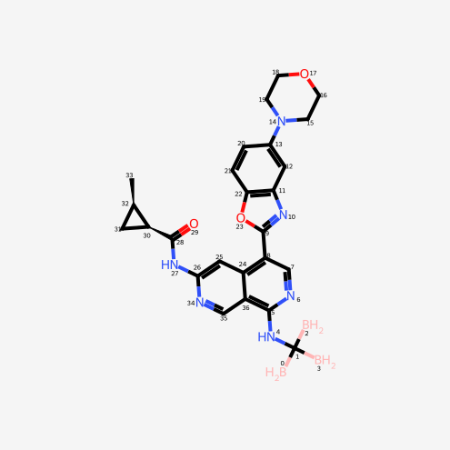 BC(B)(B)Nc1ncc(-c2nc3cc(N4CCOCC4)ccc3o2)c2cc(NC(=O)[C@H]3C[C@H]3C)ncc12